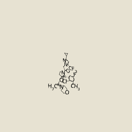 Cc1cc(F)cc([C@@H]2[C@H](OC[C@@H](C)N3CCOCC3)CCN2C(=O)Cn2nc(C3CC3)cc2C(F)(F)F)c1Cl